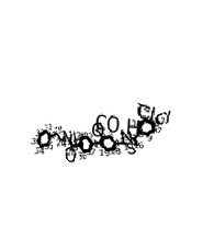 O=C(O)Oc1cc(-c2nc(-c3ccc(Cl)c(Cl)c3)cs2)ccc1-c1ccc(C(=O)NCCc2ccccc2)cc1